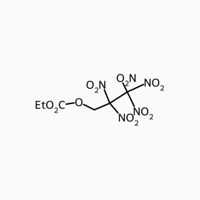 CCOC(=O)OCC([N+](=O)[O-])([N+](=O)[O-])C([N+](=O)[O-])([N+](=O)[O-])[N+](=O)[O-]